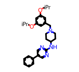 CC(C)Oc1cc(CN2CCC(Nc3ncc(-c4ccccc4)cn3)CC2)cc(OC(C)C)c1